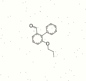 CCCOc1cccc([C]=O)c1-c1ccccc1